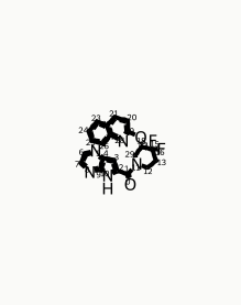 O=C(c1cc2nccnc2[nH]1)N1CCC(F)(F)[C@@H](Oc2ccc3ccccc3n2)C1